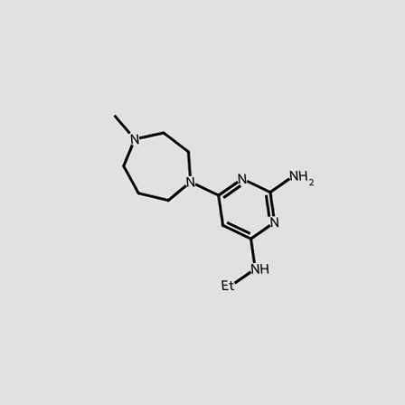 CCNc1cc(N2CCCN(C)CC2)nc(N)n1